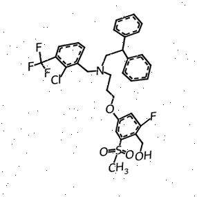 CS(=O)(=O)c1cc(OCCCN(Cc2cccc(C(F)(F)F)c2Cl)CC(c2ccccc2)c2ccccc2)cc(F)c1CO